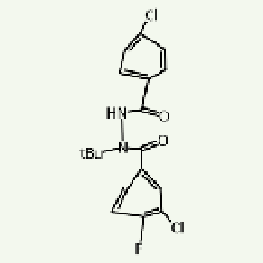 CC(C)(C)N(NC(=O)c1ccc(Cl)cc1)C(=O)c1ccc(F)c(Cl)c1